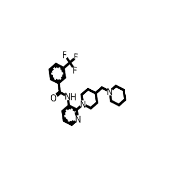 O=C(Nc1cccnc1N1CCC(CN2CCCCC2)CC1)c1cccc(C(F)(F)F)c1